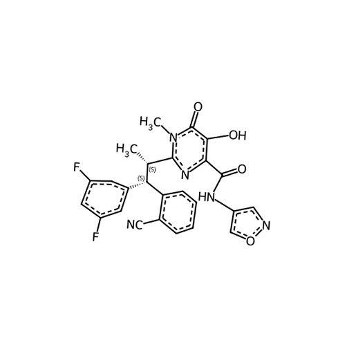 C[C@H](c1nc(C(=O)Nc2cnoc2)c(O)c(=O)n1C)[C@@H](c1cc(F)cc(F)c1)c1ccccc1C#N